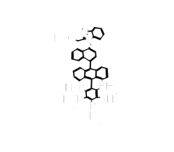 Bc1c(B)c(B)c(-c2c3ccccc3c(-c3ccc(-n4c(CC)nc5ccccc54)c4ccccc34)c3ccccc23)c(B)c1B